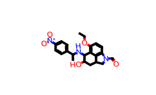 CCOc1ccc2c3c1C(NC(C)c1ccc([N+](=O)[O-])cc1)C(O)CC3CN2C=O